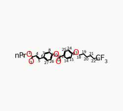 [CH2]CCOC(=O)/C=C/c1ccc(OC(=O)c2ccc(OCCCCCC(F)(F)F)cc2)cc1